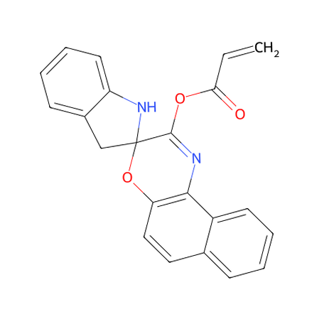 C=CC(=O)OC1=Nc2c(ccc3ccccc23)OC12Cc1ccccc1N2